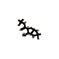 CC(C)(C)OC(=O)N1CC2OC(C)(C)OC2C1O